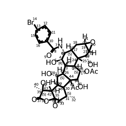 CC(=O)O[C@H]1[C@H]2[C@@H]([C@@H](O)[C@H](NC(=O)c3ccc(Br)cc3)[C@H]3C[C@@H]4O[C@@H]4[C@H](O)[C@]23C)[C@@H]2[C@@H](O)[C@@H]3[C@H]([C@H](C)[C@H]4O[C@]45OC(=O)[C@@](C)(O)[C@]35C)[C@@]2(C(C)=O)[C@H]1O